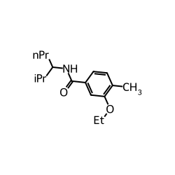 CCCC(NC(=O)c1ccc(C)c(OCC)c1)C(C)C